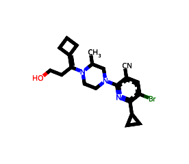 CC1CN(c2nc(C3CC3)c(Br)cc2C#N)CCN1C(CCO)=C1CCC1